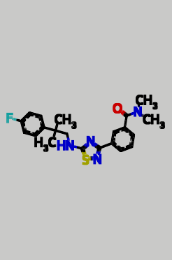 CN(C)C(=O)c1cccc(-c2nsc(NCC(C)(C)c3ccc(F)cc3)n2)c1